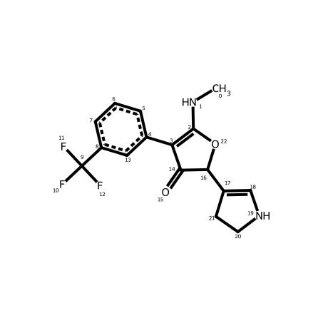 CNC1=C(c2cccc(C(F)(F)F)c2)C(=O)C(C2=CNCC2)O1